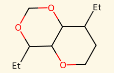 CCC1CCOC2C(CC)OCOC12